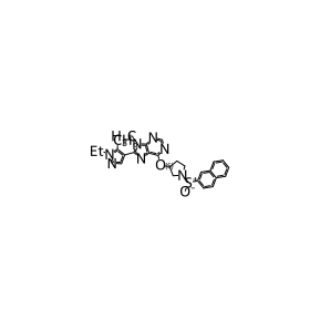 CCn1ncc(-c2nc3c(O[C@H]4CCN([S+]([O-])c5ccc6ccccc6c5)C4)ncnc3n2C)c1C